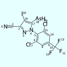 N#Cc1nn(-c2c(Cl)cc(C(F)(F)F)cc2Cl)c([AsH2])c1I